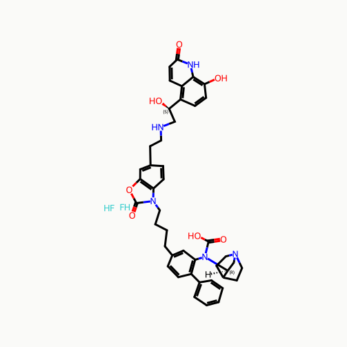 F.F.O=C(O)N(c1cc(CCCCn2c(=O)oc3cc(CCNC[C@@H](O)c4ccc(O)c5[nH]c(=O)ccc45)ccc32)ccc1-c1ccccc1)[C@H]1CN2CCC1CC2